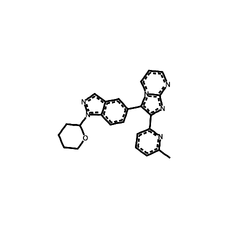 Cc1cccc(-c2nc3ncccn3c2-c2ccc3c(cnn3C3CCCCO3)c2)n1